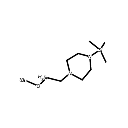 CC(C)(C)O[SiH2]CN1CCN([Si](C)(C)C)CC1